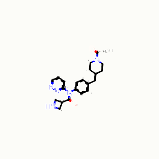 CC[C@H](C)C(=O)N1CCC(Cc2ccc(N(C(=O)C3CNC3)c3cccnn3)cc2)CC1